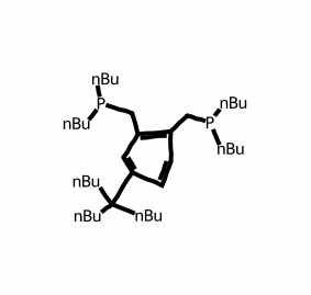 CCCCP(CCCC)Cc1ccc(C(CCCC)(CCCC)CCCC)cc1CP(CCCC)CCCC